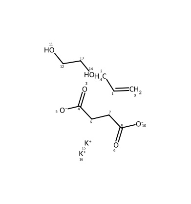 C=CC.O=C([O-])CCC(=O)[O-].OCCO.[K+].[K+]